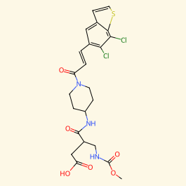 COC(=O)NCC(CC(=O)O)C(=O)NC1CCN(C(=O)/C=C/c2cc3ccsc3c(Cl)c2Cl)CC1